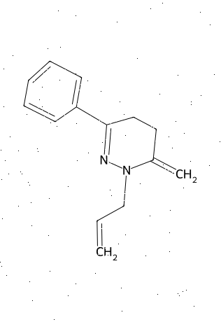 C=CCN1N=C(c2ccccc2)CCC1=C